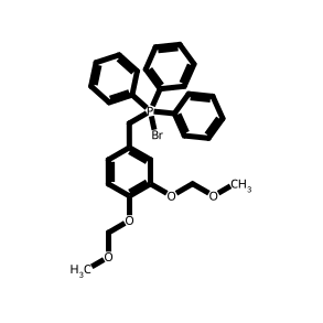 COCOc1ccc(CP(Br)(c2ccccc2)(c2ccccc2)c2ccccc2)cc1OCOC